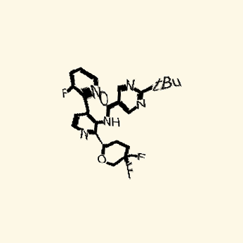 CC(C)(C)c1ncc(C(=O)Nc2c(-c3ncccc3F)ccnc2[C@H]2CCC(F)(F)CO2)cn1